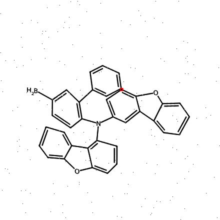 Bc1ccc(N(c2ccc3oc4ccccc4c3c2)c2cccc3oc4ccccc4c23)c(-c2ccccc2)c1